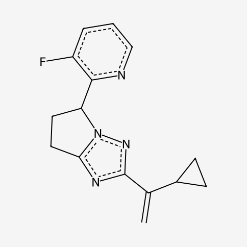 C=C(c1nc2n(n1)C(c1ncccc1F)CC2)C1CC1